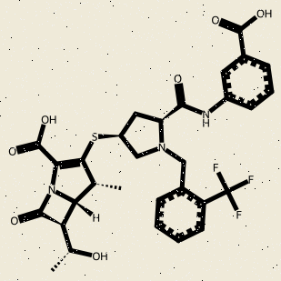 C[C@@H](O)[C@H]1C(=O)N2C(C(=O)O)=C(S[C@H]3C[C@@H](C(=O)Nc4cccc(C(=O)O)c4)N(Cc4ccccc4C(F)(F)F)C3)[C@H](C)[C@H]12